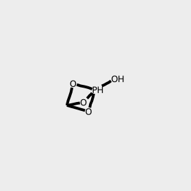 O[PH]12OC(O1)O2